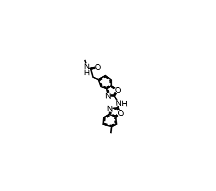 CNC(=O)Cc1ccc2oc(Nc3nc4ccc(C)cc4o3)nc2c1